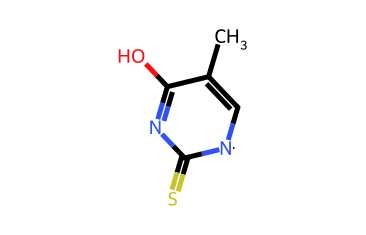 CC1=C[N]C(=S)N=C1O